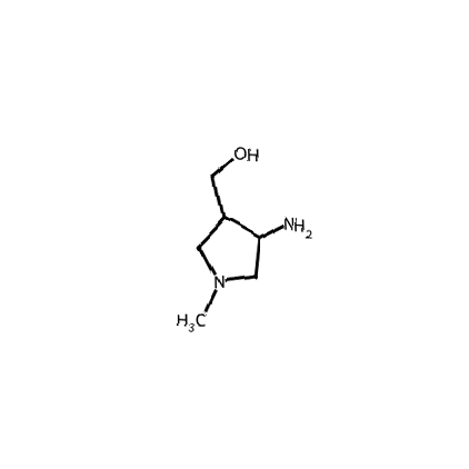 CN1CC(N)C(CO)C1